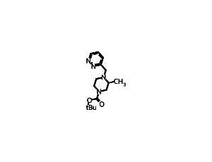 C[C@H]1CN(C(=O)OC(C)(C)C)CCN1Cc1cccnn1